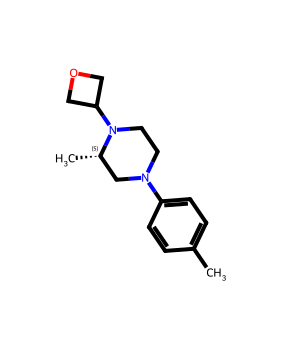 Cc1ccc(N2CCN(C3COC3)[C@@H](C)C2)cc1